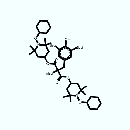 CCCCC(Cc1cc(C(C)(C)C)c(O)c(C(C)(C)C)c1)(C(=O)OC1CC(C)(C)N(OC2CCCCC2)C(C)(C)C1)C(=O)OC1CC(C)(C)N(OC2CCCCC2)C(C)(C)C1